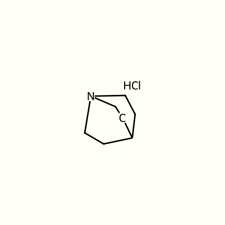 C1CN2CCC1CC2.Cl